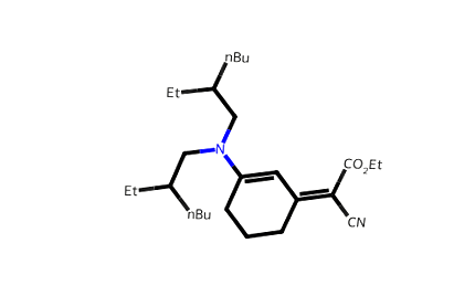 CCCCC(CC)CN(CC(CC)CCCC)C1=C/C(=C(/C#N)C(=O)OCC)CCC1